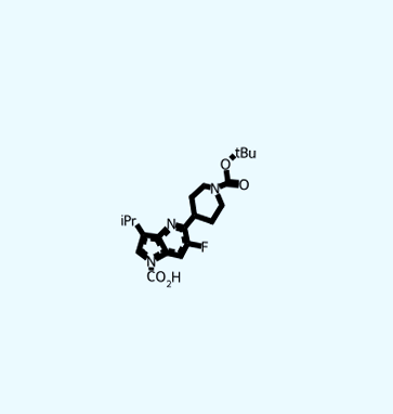 CC(C)c1cn(C(=O)O)c2cc(F)c(C3CCN(C(=O)OC(C)(C)C)CC3)nc12